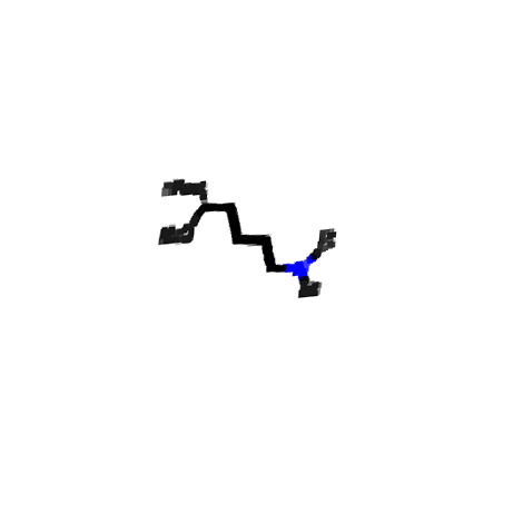 CCCCC[C@H](CCCCN(CC)CC)OC